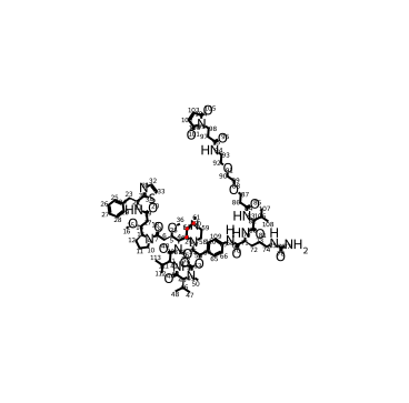 CC[C@H](C)[C@@H]([C@@H](CC(=O)N1CCC[C@H]1[C@H](OC)[C@@H](C)C(=O)N[C@@H](Cc1ccccc1)c1nccs1)OC)N(C)C(=O)[C@@H](NC(=O)[C@H](C(C)C)N(C)C(=O)OC(C(=O)N1CCN(C)CC1)c1ccc(NC(=O)[C@H](CCCNC(N)=O)NC(=O)[C@@H](NC(=O)CCOCCOCCNC(=O)CCN2C(=O)C=CC2=O)C(C)C)cc1)C(C)C